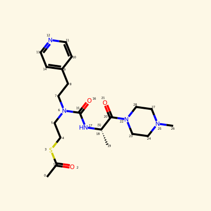 CC(=O)SCCN(CCc1ccncc1)C(=O)N[C@@H](C)C(=O)N1CCN(C)CC1